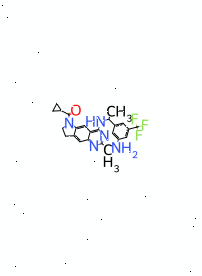 Cc1nc(NC(C)c2cc(N)cc(C(F)(F)F)c2)c2cc3c(cc2n1)CCN3C(=O)C1CC1